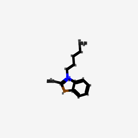 CSc1sc2ccccc2[n+]1CCCCS(=O)(=O)O